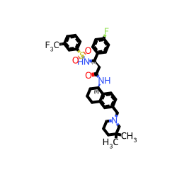 CC1(C)CCCN(Cc2ccc3c(c2)CCC[C@H]3NC(=O)C[C@@H](NS(=O)(=O)c2cccc(C(F)(F)F)c2)c2ccc(F)cc2)C1